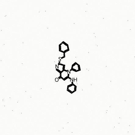 O=c1cc(Nc2ccccc2)n(-c2ccccc2)c2cc(SCc3ccccc3)ncc12